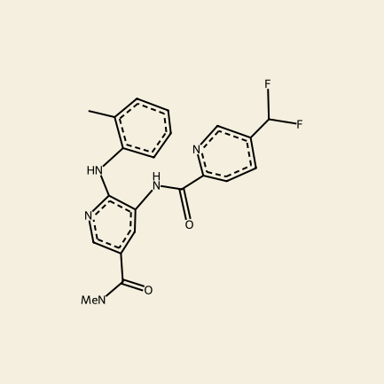 CNC(=O)c1cnc(Nc2ccccc2C)c(NC(=O)c2ccc(C(F)F)cn2)c1